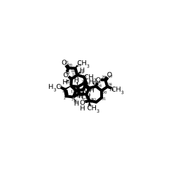 CC1=C[C@@H]2C3C4C(=C(C)[C@@H]3[C@@]13[C@@H]2[C@@](C)(O)CC[C@H]1[C@H](C)C(=O)O[C@@H]13)[C@H]1OC(=O)C(C)C1CC[C@]4(C)O